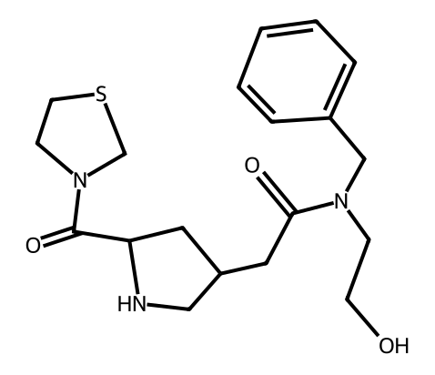 O=C(CC1CNC(C(=O)N2CCSC2)C1)N(CCO)Cc1ccccc1